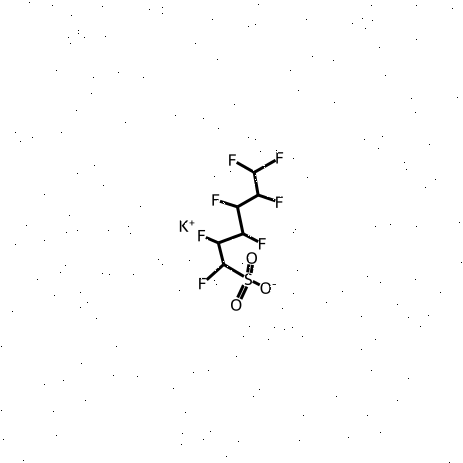 O=S(=O)([O-])C(F)C(F)C(F)C(F)C(F)C(F)F.[K+]